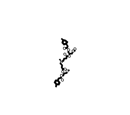 COCC(COC(=O)Cc1ccc(C)cc1)OC(=O)CCCN(C)CCCC(=O)OC(COC=O)COC(=O)Cc1ccc(C)cc1